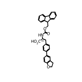 O=C(N[C@@H](Cc1ccc(-c2ccc3c(c2)CCO3)cc1)C(=O)O)OCC1c2ccccc2-c2ccccc21